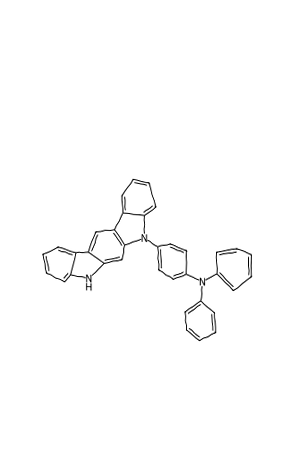 c1ccc(N(c2ccccc2)c2ccc(-n3c4ccccc4c4cc5c(cc43)[nH]c3ccccc35)cc2)cc1